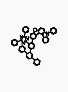 C1=CC(c2ccccc2)C(c2ccc(-c3ccc4oc5ccc6c(c7ccccc7n6-c6ccccc6)c5c4c3)c(-c3nc(-c4ccccc4)nc(-c4ccccc4)n3)c2)C=C1c1ccccc1